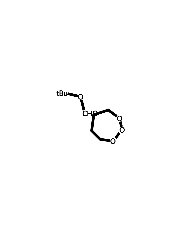 C1CCOOOC1.CC(C)(C)OC=O